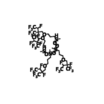 C[SiH](CCCOCC(F)(C(F)C(F)(F)F)C(F)(F)F)OO[Si](C)(CCCOCC(F)(C(F)C(F)(F)F)C(F)(F)F)O[Si](C)(CCCOCC(F)(C(F)C(F)(F)F)C(F)(F)F)O[SiH](C)CCCOCC(F)(C(F)C(F)(F)F)C(F)(F)F